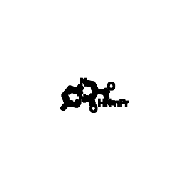 CCCNC(=O)c1cnc2ccc(C)cn2c1=O